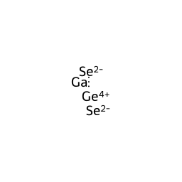 [Ga].[Ge+4].[Se-2].[Se-2]